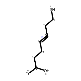 CCC(O)CC/C=C/CCS